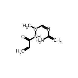 C=CC(=O)NN(C)/C=N\C(=C)N